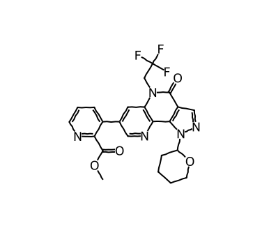 COC(=O)c1ncccc1-c1cnc2c3c(cnn3C3CCCCO3)c(=O)n(CC(F)(F)F)c2c1